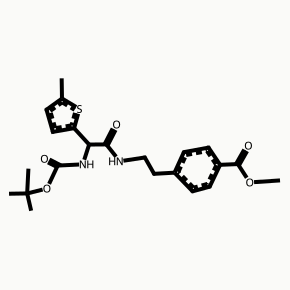 COC(=O)c1ccc(CCNC(=O)C(NC(=O)OC(C)(C)C)c2ccc(C)s2)cc1